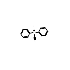 N#CP(=O)(c1ccccc1)c1ccccc1